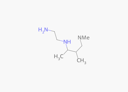 CNCC(C)C(C)NCCN